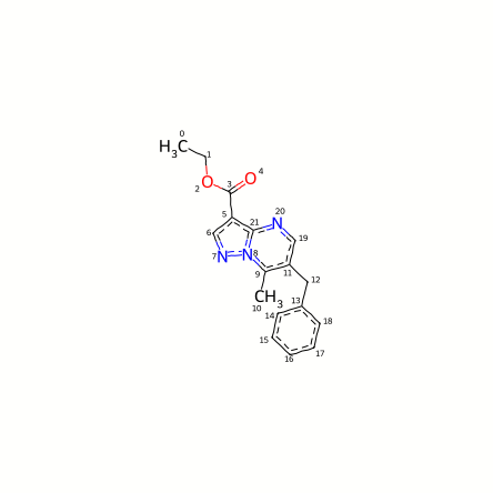 CCOC(=O)c1cnn2c(C)c(Cc3ccccc3)cnc12